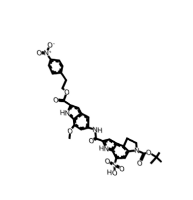 COc1cc(NC(=O)c2cc3c4c(cc(S(=O)(=O)O)c3[nH]2)N(C(=O)OC(C)(C)C)CC4)cc2cc(C(=O)OCCc3ccc([N+](=O)[O-])cc3)[nH]c12